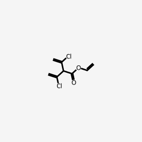 C=COC(=O)C(C(=C)Cl)C(=C)Cl